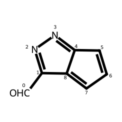 O=CC1=NN=C2C=CC=C12